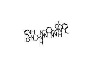 CCc1cccc(CC)c1NC(=O)c1nn(C)c2c1CCc1cnc(NC3CCN(C(=O)c4ccc[nH]4)CC3)nc1-2